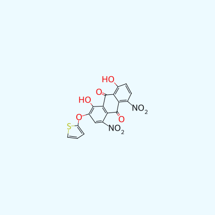 O=C1c2c([N+](=O)[O-])ccc(O)c2C(=O)c2c(O)c(Oc3cccs3)cc([N+](=O)[O-])c21